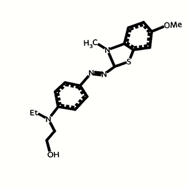 CCN(CCO)c1ccc(N=NC2Sc3cc(OC)ccc3N2C)cc1